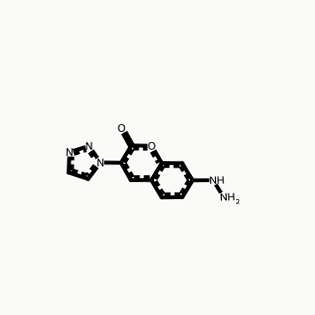 NNc1ccc2cc(-n3ccnn3)c(=O)oc2c1